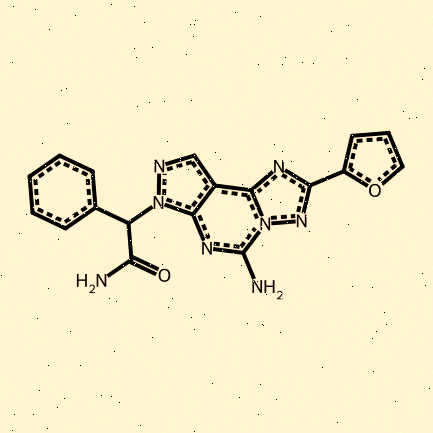 NC(=O)C(c1ccccc1)n1ncc2c1nc(N)n1nc(-c3ccco3)nc21